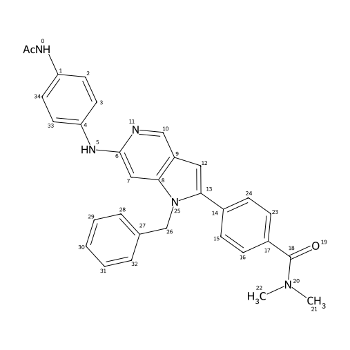 CC(=O)Nc1ccc(Nc2cc3c(cn2)cc(-c2ccc(C(=O)N(C)C)cc2)n3Cc2ccccc2)cc1